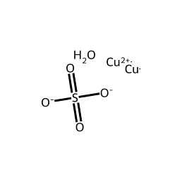 O.O=S(=O)([O-])[O-].[Cu+2].[Cu]